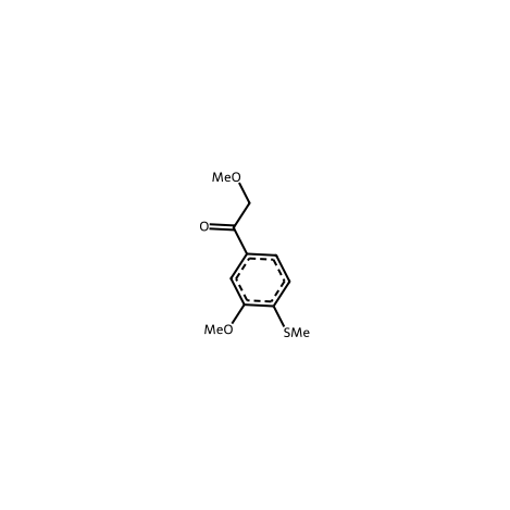 COCC(=O)c1ccc(SC)c(OC)c1